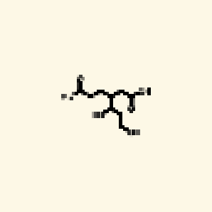 O=C(O)CCC(CC(=O)O)C(O)CCO